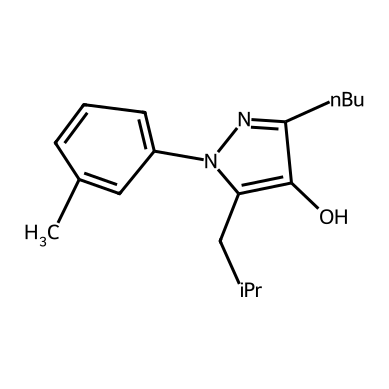 CCCCc1nn(-c2cccc(C)c2)c(CC(C)C)c1O